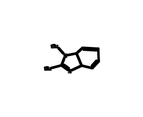 CC(C)(C)C1=NC2C=CC=CC2N1C(C)(C)C